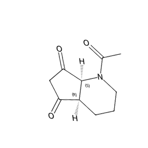 CC(=O)N1CCC[C@H]2C(=O)CC(=O)[C@H]21